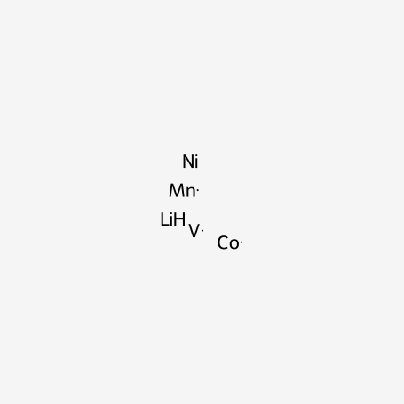 [Co].[LiH].[Mn].[Ni].[V]